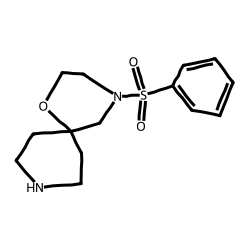 O=S(=O)(c1ccccc1)N1CCOC2(CCNCC2)C1